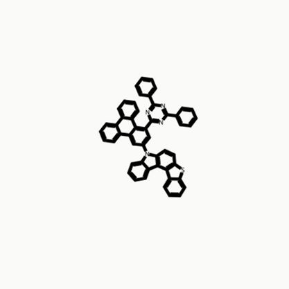 c1ccc(-c2nc(-c3ccccc3)nc(-c3cc(-n4c5ccccc5c5c6c(ccc54)sc4ccccc46)cc4c5ccccc5c5ccccc5c34)n2)cc1